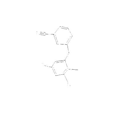 Cc1c(N)cc(F)cc1Cc1cccc(C#N)c1